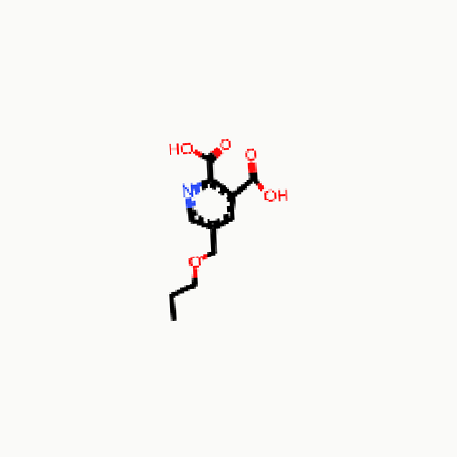 CCCOCc1cnc(C(=O)O)c(C(=O)O)c1